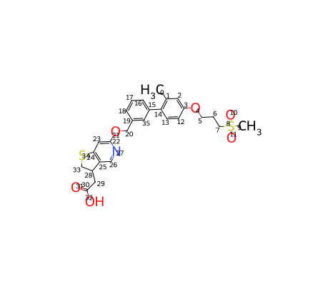 Cc1cc(OCCCS(C)(=O)=O)ccc1-c1cccc(COc2cc3c(cn2)C(CC(=O)O)CS3)c1